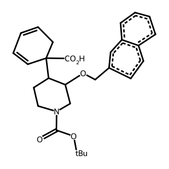 CC(C)(C)OC(=O)N1CCC(C2(C(=O)O)C=CC=CC2)C(OCc2ccc3ccccc3c2)C1